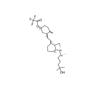 C=C1CC[C@H](OC(=O)C(F)(F)F)C/C1=C/C=C1\CCC[C@@]2(C)C1CC[C@@H]2[C@H](C)CCCC(C)(C)O